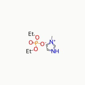 CCOP(=O)([O-])OCC.C[n+]1cc[nH]c1